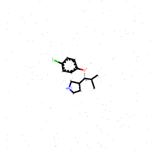 CC(C)[C@@H](Oc1ccc(Cl)cc1)C1CCNC1